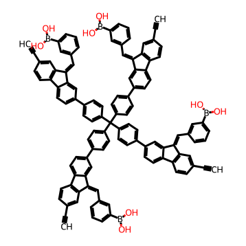 C#Cc1ccc2c(c1)/C(=C\c1cccc(B(O)O)c1)c1cc(-c3ccc(C(c4ccc(-c5ccc6c(c5)/C(=C/c5cccc(B(O)O)c5)c5cc(C#C)ccc5-6)cc4)(c4ccc(-c5ccc6c(c5)/C(=C/c5cccc(B(O)O)c5)c5cc(C#C)ccc5-6)cc4)c4ccc(-c5ccc6c(c5)/C(=C/c5cccc(B(O)O)c5)c5cc(C#C)ccc5-6)cc4)cc3)ccc1-2